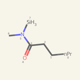 CCCCCC(=O)N(C)[SiH3]